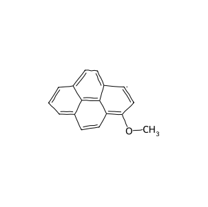 COc1c[c]c2ccc3cccc4ccc1c2c34